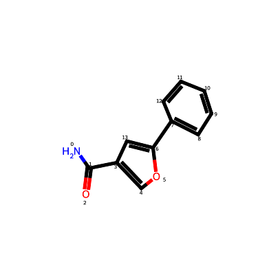 NC(=O)c1coc(-c2ccccc2)c1